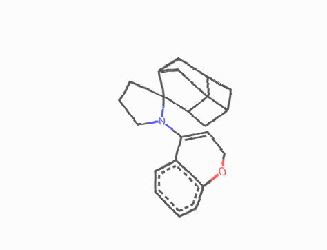 C1=C(N2CCCC23C2CC4CC(C2)CC3C4)c2ccccc2OC1